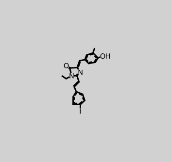 CCN1C(=O)/C(=C/c2ccc(O)c(C)c2)N=C1/C=C/c1ccc(I)cc1